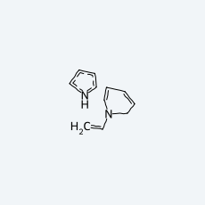 C=CN1C=CC=CC1.c1cc[nH]c1